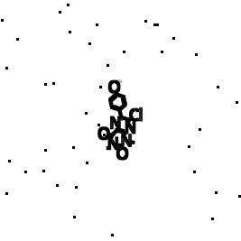 COc1ccc(-c2nc3c(=O)n(C)c(=O)n(C)c3nc2Cl)cc1